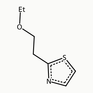 [CH2]COCCc1nccs1